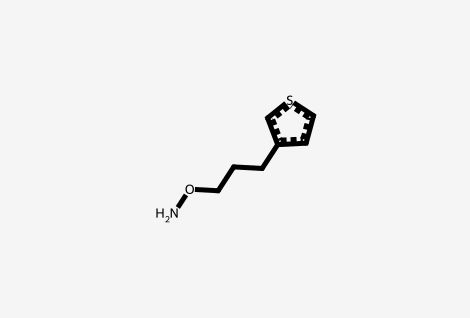 NOCCCc1ccsc1